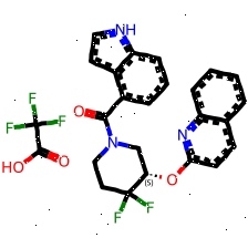 O=C(O)C(F)(F)F.O=C(c1cccc2[nH]ccc12)N1CCC(F)(F)[C@@H](Oc2ccc3ccccc3n2)C1